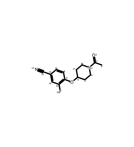 CC(=O)N1CCC(Oc2ccc(C#N)cc2F)CC1